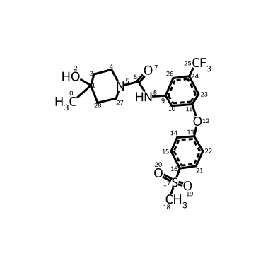 CC1(O)CCN(C(=O)Nc2cc(Oc3ccc(S(C)(=O)=O)cc3)cc(C(F)(F)F)c2)CC1